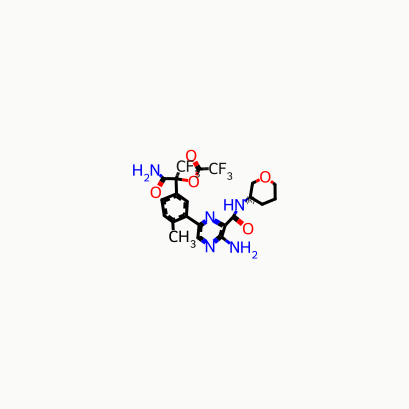 Cc1ccc(C(OC(=O)C(F)(F)F)(C(N)=O)C(F)(F)F)cc1-c1cnc(N)c(C(=O)N[C@@H]2CCCOC2)n1